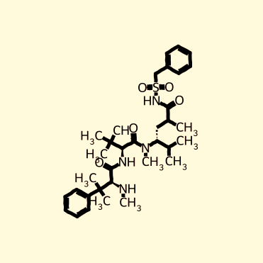 CN[C@H](C(=O)N[C@H](C(=O)N(C)[C@H](CC(C)C(=O)NS(=O)(=O)Cc1ccccc1)C(C)C)C(C)(C)C)C(C)(C)c1ccccc1